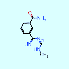 CN/C=N\C(=N)c1cccc(C(N)=O)c1